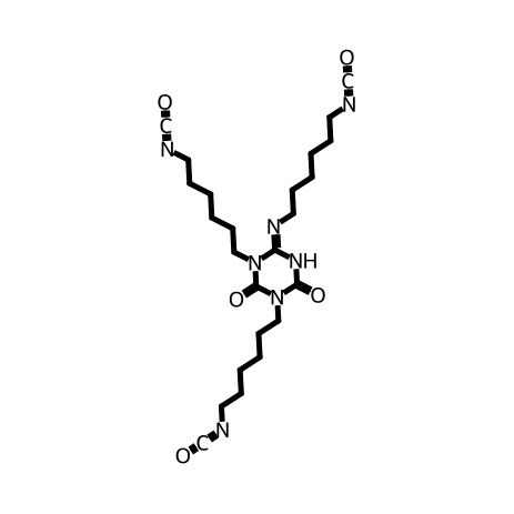 O=C=NCCCCCC/N=c1\[nH]c(=O)n(CCCCCCN=C=O)c(=O)n1CCCCCCN=C=O